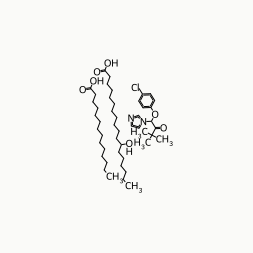 CC(C)(C)C(=O)C(Oc1ccc(Cl)cc1)n1ccnc1.CCCCCCC(O)CCCCCCCCCCC(=O)O.CCCCCCCCCCCCCC(=O)O